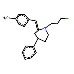 Cc1ccc(C=C2CC(c3ccccc3)CCN2CCCCl)cc1